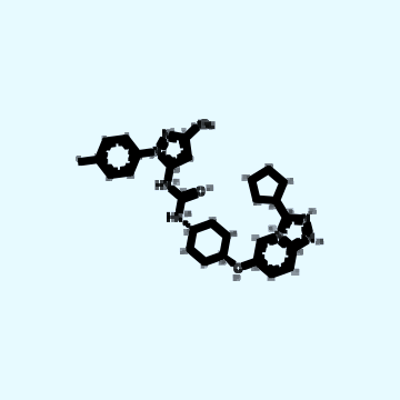 Cc1ccc(-n2nc(C(C)(C)C)cc2NC(=O)N[C@H]2CC[C@H](Oc3ccc4nnc(C5CCCC5)n4c3)CC2)cc1